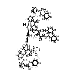 CC(C)C(=O)N[C@H](C(=O)N1CCC[C@H]1Cn1nnnc1N(C)Cc1ccccc1)[C@@H](C)OCC#CC#CCOC(C)[C@H](NC(=O)[C@H](C)N(C)C(=O)OCC1c2ccccc2-c2ccccc21)C(=O)N1CCC[C@H]1Cn1nnnc1N(C)Cc1ccccc1